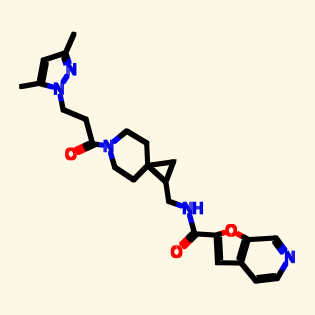 Cc1cc(C)n(CCC(=O)N2CCC3(CC2)CC3CNC(=O)c2cc3ccncc3o2)n1